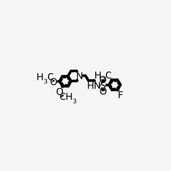 COc1cc2c(cc1OC)CN(CCCNS(=O)(=O)c1cc(F)ccc1C)CC2